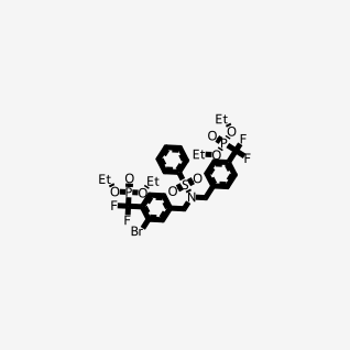 CCOP(=O)(OCC)C(F)(F)c1ccc(CN(Cc2ccc(C(F)(F)P(=O)(OCC)OCC)c(Br)c2)S(=O)(=O)c2ccccc2)cc1